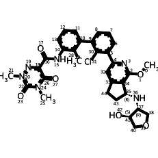 COc1nc(-c2cccc(-c3cccc(NC(=O)c4nn(C)c(=O)n(C)c4=O)c3C)c2Cl)cc2c1[C@H](N[C@@H]1COC[C@H]1O)CC2